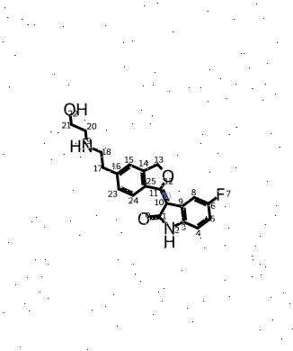 O=C1Nc2ccc(F)cc2/C1=C1\OCc2cc(CCNCCO)ccc21